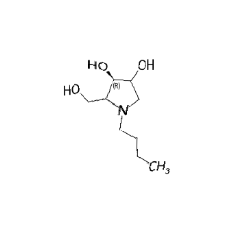 CCCCN1CC(O)[C@H](O)C1CO